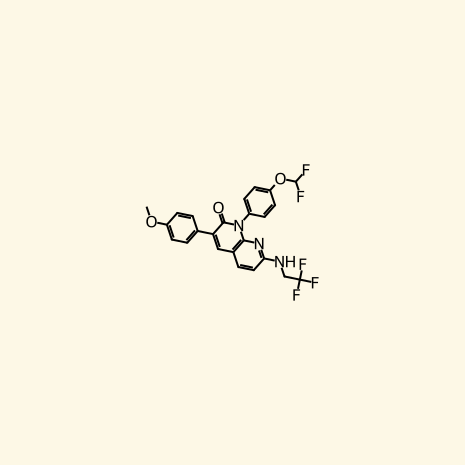 COc1ccc(-c2cc3ccc(NCC(F)(F)F)nc3n(-c3ccc(OC(F)F)cc3)c2=O)cc1